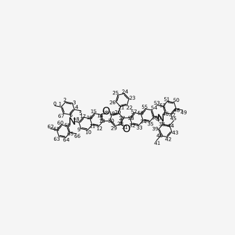 Cc1ccc(C)c(N(c2ccc3cc4c(cc3c2)oc2c(-c3ccccc3)c3c(cc24)oc2cc4cc(N(c5cc(C)ccc5C)c5cc(C)ccc5C)ccc4cc23)c2cc(C)ccc2C)c1